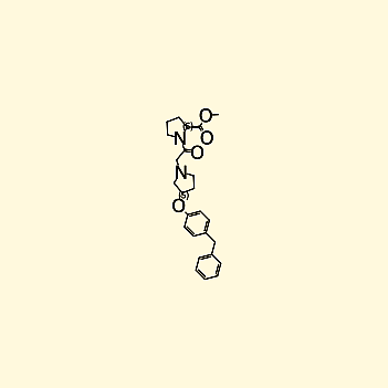 COC(=O)[C@@H]1CCCN1C(=O)CN1CC[C@H](Oc2ccc(Cc3ccccc3)cc2)C1